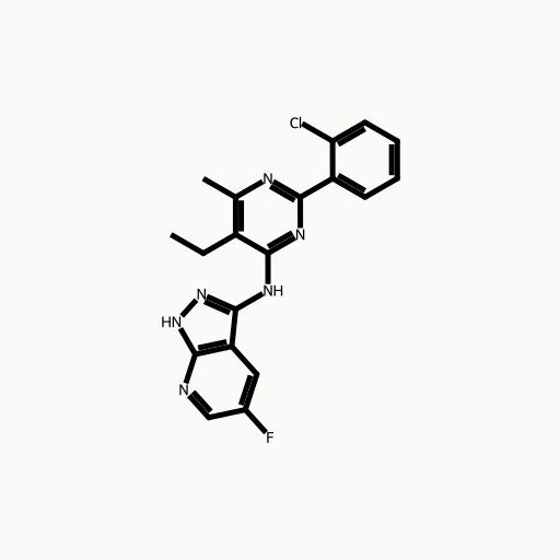 CCc1c(C)nc(-c2ccccc2Cl)nc1Nc1n[nH]c2ncc(F)cc12